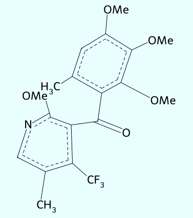 COc1cc(C)c(C(=O)c2c(OC)ncc(C)c2C(F)(F)F)c(OC)c1OC